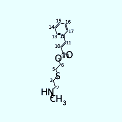 CNCCSCCOC(=O)/C=C/c1ccccc1